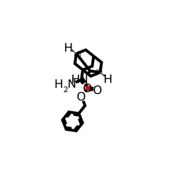 NC(=O)C12CC3C[C@H](C1)C(NC(=O)OCc1ccccc1)[C@@H](C3)C2